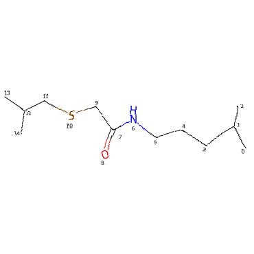 CC(C)CCCNC(=O)CSCC(C)C